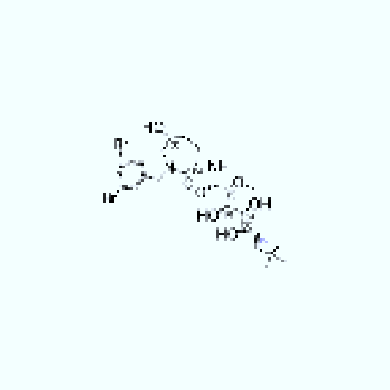 CO[C@@H](C(=O)N[C@H]1CC[C@@H](O)CN(Cc2cc(Br)cc(Br)c2)C1=O)[C@H](O)[C@@H](O)[C@H](O)/C=C/C(C)(C)C